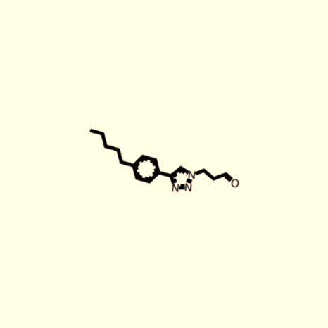 CCCCCc1ccc(-c2cn(CCC=O)nn2)cc1